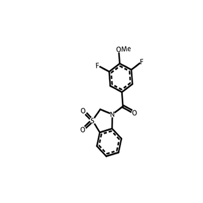 COc1c(F)cc(C(=O)N2CS(=O)(=O)c3ccccc32)cc1F